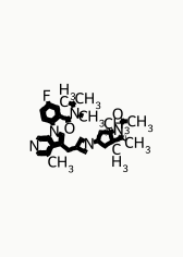 CC(=O)N1[C@H](C)C2(C)CC(N3CC(Cc4cn(-c5ccc(F)cc5C(=O)N(C)C(C)C)c5cncc(C)c45)C3)C[C@@]12C